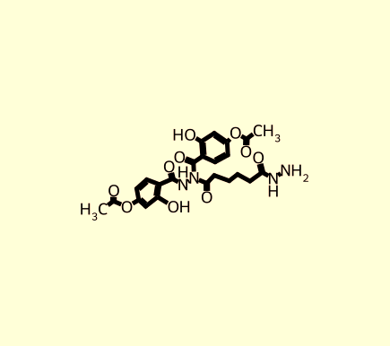 CC(=O)Oc1ccc(C(=O)NN(C(=O)CCCCC(=O)NN)C(=O)c2ccc(OC(C)=O)cc2O)c(O)c1